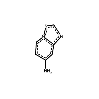 Nc1ccn2ncnc2c1